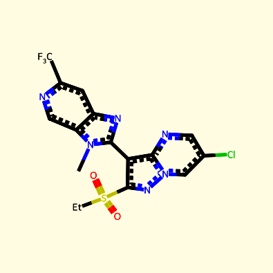 CCS(=O)(=O)c1nn2cc(Cl)cnc2c1-c1nc2cc(C(F)(F)F)ncc2n1C